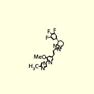 COc1cc(/C=C/c2nc3n(n2)CCC[C@@H]3c2cc(F)c(F)c(F)c2)cnc1-n1cnc(C)c1